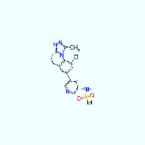 CCS(=O)(=O)Nc1cncc(-c2cc(Cl)c3c(c2)CCc2nnc(C)n2-3)c1